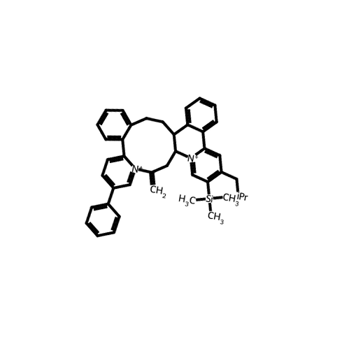 C=C1CC2C(CCc3ccccc3-c3ccc(-c4ccccc4)c[n+]31)c1ccccc1-c1cc(CC(C)C)c([Si](C)(C)C)c[n+]12